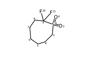 O=S1(=O)CCCCCCC1(F)F